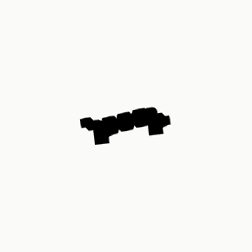 CCCCOc1ccc(-c2ccc(-c3ccc(OCCC(C)Br)cc3)cc2)cc1Br